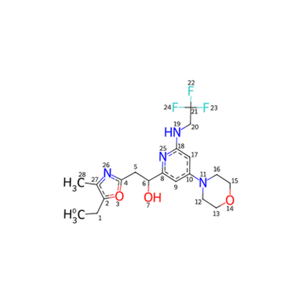 CCc1oc(CC(O)c2cc(N3CCOCC3)cc(NCC(F)(F)F)n2)nc1C